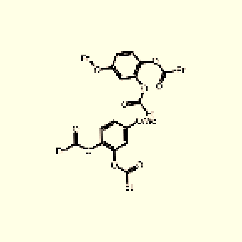 CCC(=O)Oc1ccc(OC)cc1OC(=O)CC.CCOc1ccc(OC(=O)CC)c(OC(=O)CC)c1